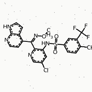 CON=C(c1ncc(Cl)cc1NS(=O)(=O)c1ccc(C)c(C(F)(F)F)c1)c1ccnc2[nH]ccc12